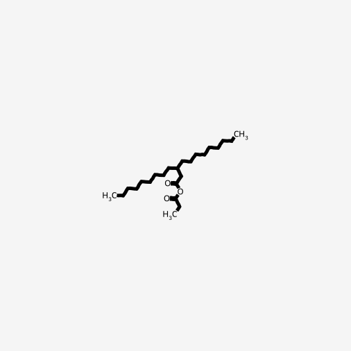 CCCCCCCCCC(CCCCCCCCC)CC(=O)OC(=O)CC